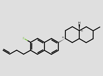 C=CCCc1cc2ccc([C@@H]3CC[C@@H]4CC(C)CCC4C3)cc2cc1F